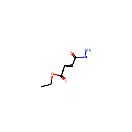 CCOC(=O)/C=C/C(=O)NN